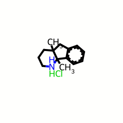 CC12CCCNC1(C)c1ccccc1C2.Cl